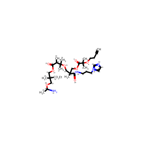 C#CCCOC(C)(C)C(=O)OCC(C)(COC(C)(C)C(C)C(=O)OCC(C)(COC(C)N)C(=O)OCC)C(=O)NCCCn1ccnc1